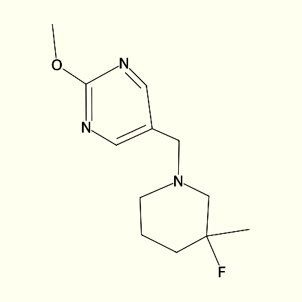 COc1ncc(CN2CCCC(C)(F)C2)cn1